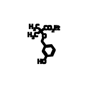 CCOC(=O)C(C)(C)OCc1cccc(O)c1